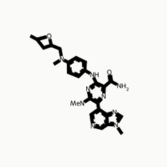 CNc1nc(Nc2ccc(N(C)CC3CC(C)O3)cc2)c(C(N)=O)nc1-c1cncc2c1ncn2C